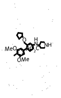 COc1cc(-c2ccc(NC3(C(=O)O)CCNCC3)cc2COC2CCCC2)cc(OC)c1C